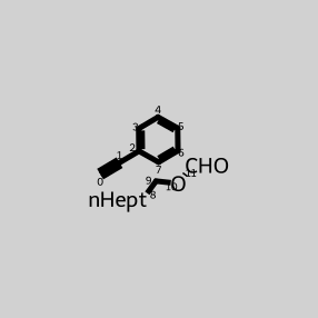 C#Cc1ccccc1.CCCCCCCCOC=O